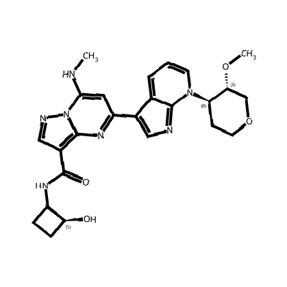 CNc1cc(-c2cnc3n([C@@H]4CCOC[C@H]4OC)cccc2-3)nc2c(C(=O)NC3CC[C@@H]3O)cnn12